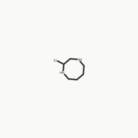 CCC1CNCCCCN1